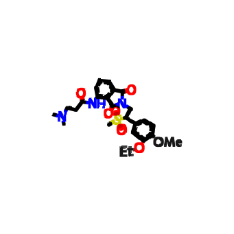 CCOc1cc(C(CN2C(=O)c3cccc(NC(=O)CCN(C)C)c3C2=O)S(C)(=O)=O)ccc1OC